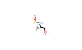 O=PNCCO.[NaH]